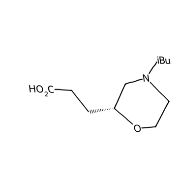 CCC(C)N1CCO[C@H](CCC(=O)O)C1